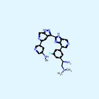 CC(C)Nc1cncc(-c2cc3c(-c4nc5c(-c6cc(F)cc(C(N)CN(C)C)c6)cncc5[nH]4)n[nH]c3cn2)c1